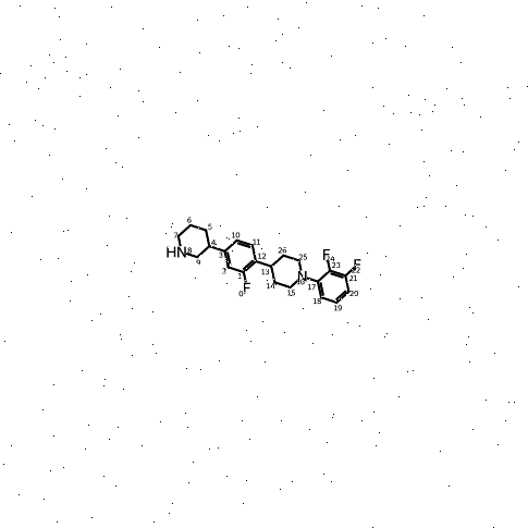 Fc1cc(C2CCCNC2)ccc1C1CCN(c2cccc(F)c2F)CC1